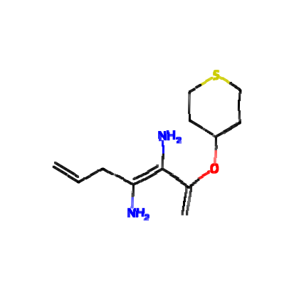 C=CC/C(N)=C(\N)C(=C)OC1CCSCC1